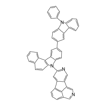 c1ccc(-n2c3ccccc3c3cc(-c4ccc5c(c4)c4c6ccccc6ccc4n5-c4cc5c(cn4)-c4cncc6cccc-5c46)ccc32)cc1